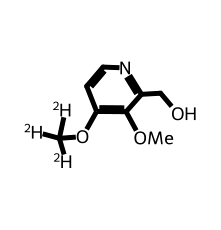 [2H]C([2H])([2H])Oc1ccnc(CO)c1OC